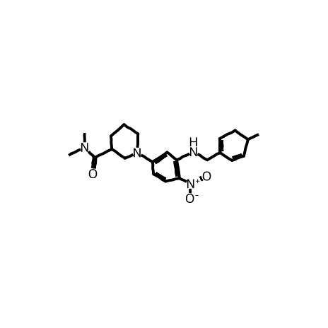 CC1C=CC(CNc2cc(N3CCCC(C(=O)N(C)C)C3)ccc2[N+](=O)[O-])=CC1